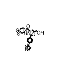 O=C(N[C@@H](CCCO)C(=O)N1CCS(=O)(=O)CC1)c1ccc(-n2ccnn2)cc1